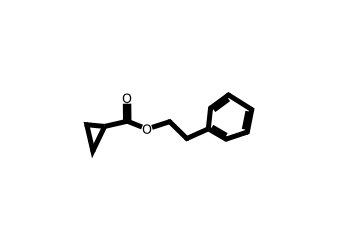 O=C(OCCc1ccccc1)C1CC1